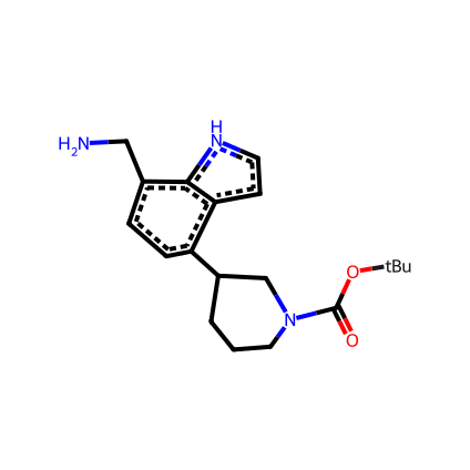 CC(C)(C)OC(=O)N1CCCC(c2ccc(CN)c3[nH]ccc23)C1